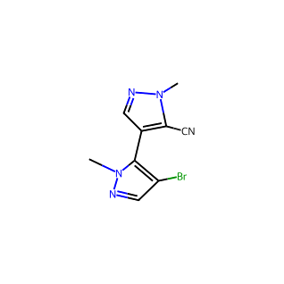 Cn1ncc(-c2c(Br)cnn2C)c1C#N